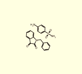 Nc1ccc(S(N)(=O)=O)cc1.O=C1C(=O)N(Cc2ccccc2)c2ccccc21